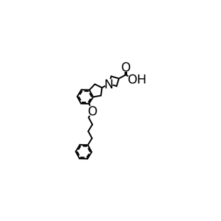 O=C(O)C1CN(C2Cc3cccc(OCCCCc4ccccc4)c3C2)C1